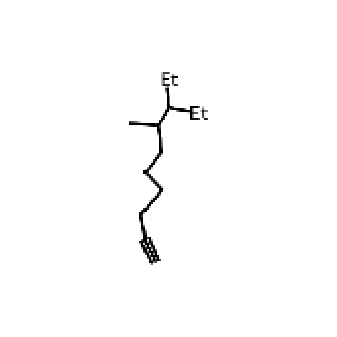 C#CCCCCC(C)C(CC)CC